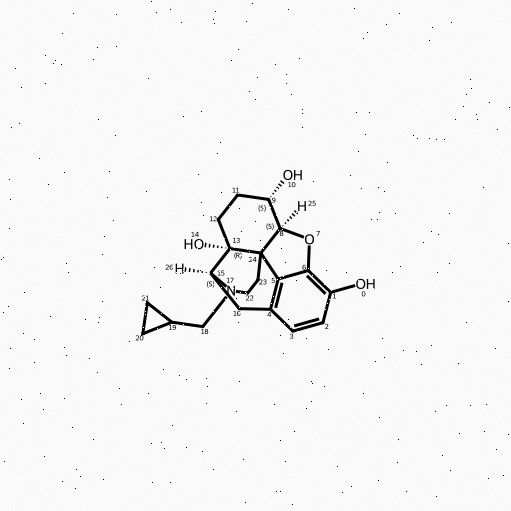 Oc1ccc2c3c1O[C@@H]1[C@@H](O)CC[C@]4(O)[C@H](C2)N(CC2CC2)CCC314